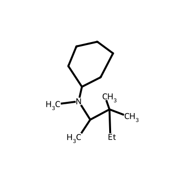 CCC(C)(C)C(C)N(C)C1CCCCC1